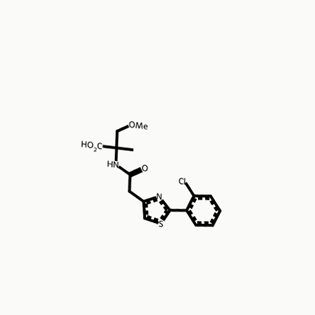 COCC(C)(NC(=O)Cc1csc(-c2ccccc2Cl)n1)C(=O)O